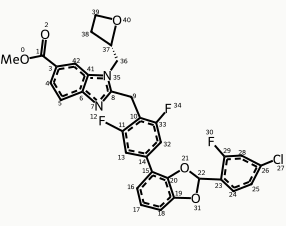 COC(=O)c1ccc2nc(Cc3c(F)cc(-c4cccc5c4OC(c4ccc(Cl)cc4F)O5)cc3F)n(C[C@@H]3CCO3)c2c1